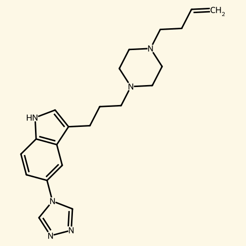 C=CCCN1CCN(CCCc2c[nH]c3ccc(-n4cnnc4)cc23)CC1